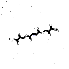 NC(=O)C(=O)COC(=O)/C=C/C(=O)OCC(=O)C(N)=O